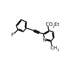 CCOC(=O)c1ccc(C)nc1C#Cc1cccc(F)c1